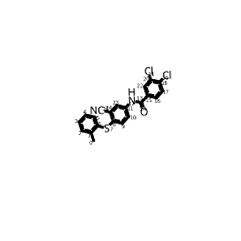 Cc1ccccc1Sc1ccc(NC(=O)c2ccc(Cl)c(Cl)c2)cc1C#N